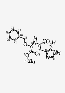 CC(C)(C)OC(=O)C(NC(Cc1c[nH]cn1)C(=O)O)OCc1ccccc1